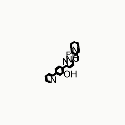 Oc1cc(-c2ccccn2)ccc1-c1ccc(O[C@H]2CC3CCCC(N3)[C@H]2F)nn1